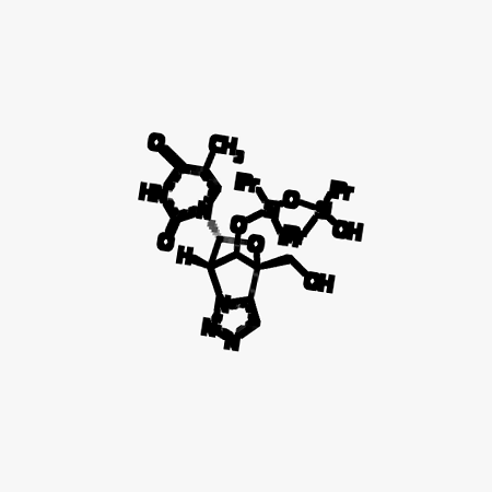 Cc1cn([C@@H]2O[C@]3(CO)c4cnnn4[C@H]2C3O[Si](O[Si](O)(C(C)C)C(C)C)(C(C)C)C(C)C)c(=O)[nH]c1=O